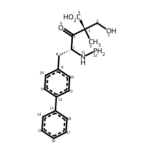 C[C@](CO)(C(=O)O)C(=O)[C@@H](Cc1ccc(-c2ccccc2)cc1)NP